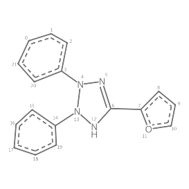 c1ccc(N2N=C(c3ccco3)NN2c2ccccc2)cc1